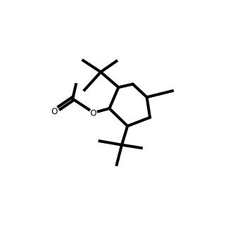 CC(=O)OC1C(C(C)(C)C)CC(C)CC1C(C)(C)C